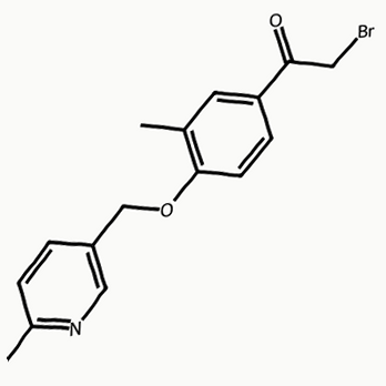 Cc1ccc(COc2ccc(C(=O)CBr)cc2C)cn1